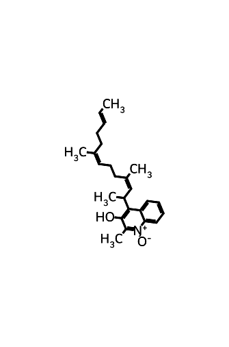 CC=CCCC(C)=CCCC(C)=CC(C)c1c(O)c(C)[n+]([O-])c2ccccc12